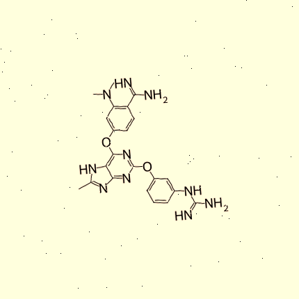 Cc1nc2nc(Oc3cccc(NC(=N)N)c3)nc(Oc3ccc(C(=N)N)c(N(C)C)c3)c2[nH]1